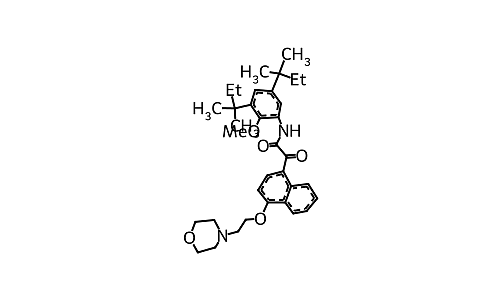 CCC(C)(C)c1cc(NC(=O)C(=O)c2ccc(OCCN3CCOCC3)c3ccccc23)c(OC)c(C(C)(C)CC)c1